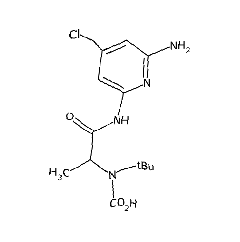 CC(C(=O)Nc1cc(Cl)cc(N)n1)N(C(=O)O)C(C)(C)C